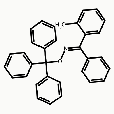 Cc1ccccc1C(=NOC(c1ccccc1)(c1ccccc1)c1ccccc1)c1ccccc1